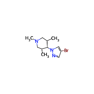 CC1CN(C)CC(C)C1n1cc(Br)cn1